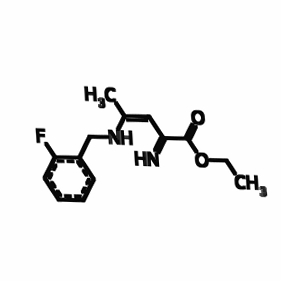 CCOC(=O)C(=N)/C=C(/C)NCc1ccccc1F